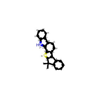 CC1(C)c2ccccc2-c2c1sc1c2ccc2c3ccccc3[nH]c21